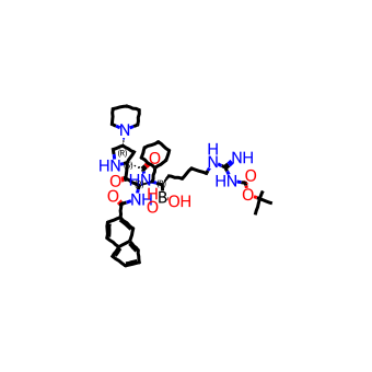 CC(C)(C)OC(=O)NC(=N)NCCCC[C@H](NC(=O)[C@@]1(C(=O)[C@@H](CC2CCCCC2)NC(=O)c2ccc3ccccc3c2)C[C@@H](N2CCCCC2)CN1)B(O)O